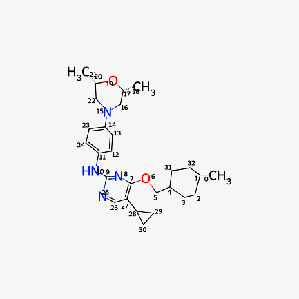 CC1CCC(COc2nc(Nc3ccc(N4C[C@@H](C)O[C@@H](C)C4)cc3)ncc2C2CC2)CC1